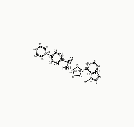 Cc1ccn2ccnc(N3CC[C@H](NC(=O)c4ncc(-c5ccccc5)cn4)C3)c12